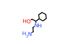 NCCNC(CO)C1CCCCC1